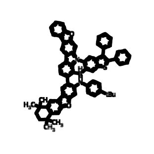 CC(C)(C)c1ccc(Nc2cc3oc4cc5c(cc4c3cc2-c2ccc3c4cc6c(cc4n4c3c2Bc2cc3sc(-c7ccccc7)c(-c7ccccc7)c3cc2-4)oc2ccccc26)C(C)(C)CCC5(C)C)cc1